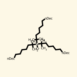 CCCCCCCCCCCCCCCC(C)(C)[Si]([O])(C(C)(C)CCCCCCCCCCCCCCC)C(C)(C)CCCCCCCCCCCCCCC